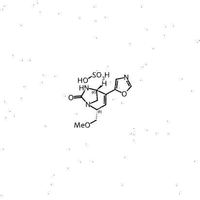 COC[C@H]1C=C(c2cnco2)[C@@H]2CN1C(=O)N2.O=S(=O)(O)O